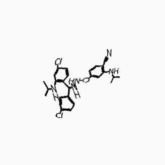 CC(C)Nc1cc(ONNC(c2ccc(Cl)cc2)c2ccc(Cl)cc2NC(C)C)ccc1C#N